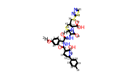 [2H]Oc1ccc(C(NC(=O)c2ccc(-c3ccc(C)cc3)nc2O)C(=O)NC2C(=O)N3C(C(=O)O)=C(CSc4nncs4)CS[C@@H]23)cc1